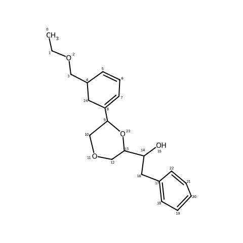 CCOCC1C=CC=C(C2COCC(C(O)Cc3ccccc3)O2)C1